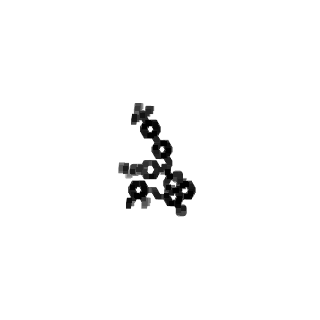 CN1CCC(N(Cc2ccc(-c3ccc(C(F)(F)F)cc3)cc2)C(=O)Cn2c(CCc3cccc(F)c3F)cc(=O)c3cccnc32)CC1